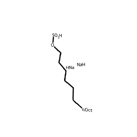 CCCCCCCCCCCCCCOS(=O)(=O)O.[NaH].[NaH]